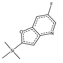 C[Si](C)(C)c1cc2ncc(F)cc2o1